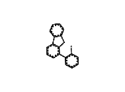 Brc1ccccc1-c1cccc2c1Cc1ccccc1-2